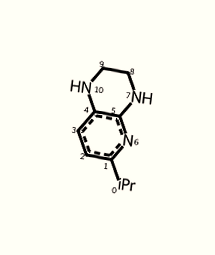 CC(C)c1ccc2c(n1)NCCN2